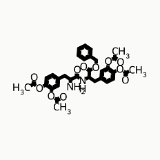 CC(=O)Oc1ccc(CC(N)C(=O)NC(Cc2ccc(OC(C)=O)c(OC(C)=O)c2)C(=O)OCc2ccccc2)cc1OC(C)=O